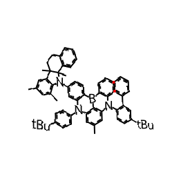 Cc1cc2c3c(c1)N(c1ccc(C(C)(C)C)cc1-c1ccccc1)c1ccccc1B3c1ccc(N3c4c(C)cc(C)cc4C4(C)CCc5ccccc5C34C)cc1N2c1ccc(C(C)(C)C)cc1